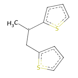 C[C](Cc1cccs1)c1cccs1